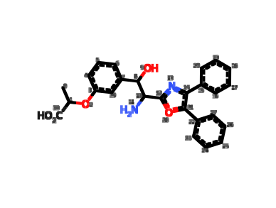 CC(Oc1cccc(C(O)C(N)c2nc(-c3ccccc3)c(-c3ccccc3)o2)c1)C(=O)O